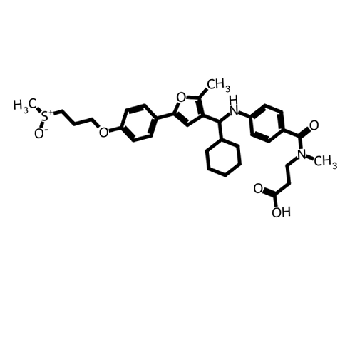 Cc1oc(-c2ccc(OCCC[S+](C)[O-])cc2)cc1C(Nc1ccc(C(=O)N(C)CCC(=O)O)cc1)C1CCCCC1